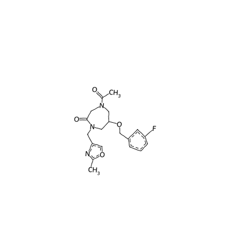 CC(=O)N1CC(=O)N(Cc2coc(C)n2)CC(OCc2cccc(F)c2)C1